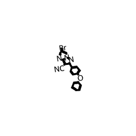 N#Cc1c(-c2ccc(Oc3ccccc3)cc2)nn2cc(Br)cnc12